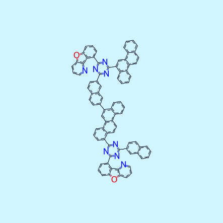 c1ccc2cc(-c3nc(-c4cccc5c4ccc4c6ccccc6c(-c6ccc7ccc(-c8nc(-c9cc%10c%11ccccc%11ccc%10c%10ccccc9%10)nc(-c9cccc%10oc%11cccnc%11c9%10)n8)cc7c6)cc54)nc(-c4cccc5oc6cccnc6c45)n3)ccc2c1